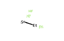 C[CH2][Sn].F.F.F